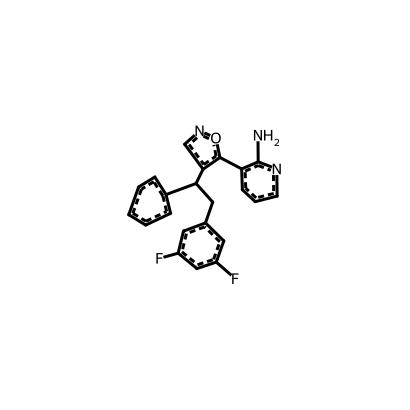 Nc1ncccc1-c1oncc1C(Cc1cc(F)cc(F)c1)c1ccccc1